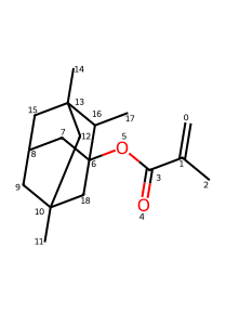 C=C(C)C(=O)OC12CC3CC(C)(CC(C)(C3)C1C)C2